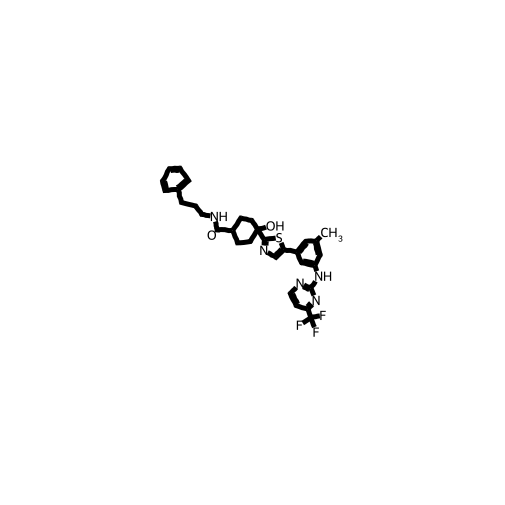 Cc1cc(Nc2nccc(C(F)(F)F)n2)cc(-c2cnc(C3(O)CCC(C(=O)NCCCc4ccccc4)CC3)s2)c1